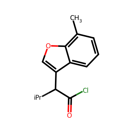 Cc1cccc2c(C(C(=O)Cl)C(C)C)coc12